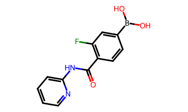 O=C(Nc1ccccn1)c1ccc(B(O)O)cc1F